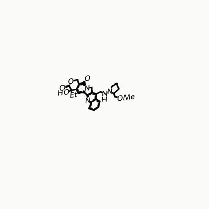 CC[C@@]1(O)C(=O)OCc2c1cc1n(c2=O)Cc2c-1nc1ccccc1c2CNN1CCCC1COC